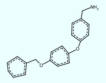 NCc1ccc(Oc2ccc(OCc3ccccc3)cc2)cc1